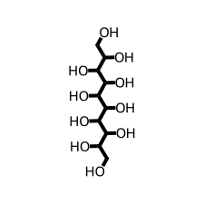 OCC(O)C(O)C(O)C(O)C(O)C(O)C(O)C(O)CO